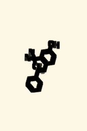 Oc1ccc(/C=C/c2ccccc2)c(C2(C(F)(F)F)N=N2)c1